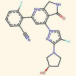 N#Cc1cccc(F)c1-c1cc(-n2cc(F)c(N3CC[C@@H](O)C3)n2)c2c(n1)CNC2=O